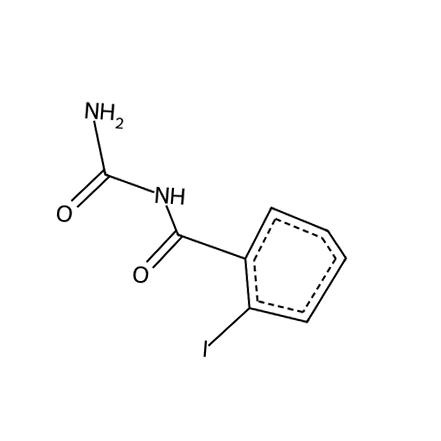 NC(=O)NC(=O)c1ccccc1I